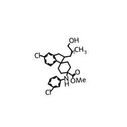 COC(=O)C1(Nc2cccc(Cl)c2)CCC2(CC1)c1ccc(Cl)cc1CC2C[C@@H](C)CO